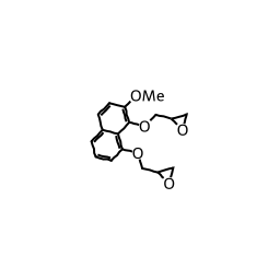 COc1ccc2cccc(OCC3CO3)c2c1OCC1CO1